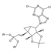 CC(C)OP(=O)(/C=C/[C@@]12CC1C(n1cnc3c(Cl)nc(Cl)nc31)[C@@H]1OC(C)(C)O[C@@H]12)OC(C)C